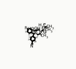 C[C@H]1CN(C(c2ccc(F)cc2)c2ccc(C#N)cc2)C(O)(CO)CN1C(=O)OC(C)(C)C